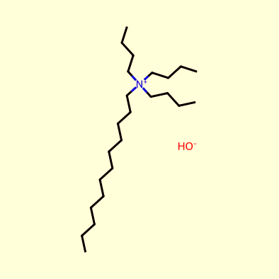 CCCCCCCCCCCC[N+](CCCC)(CCCC)CCCC.[OH-]